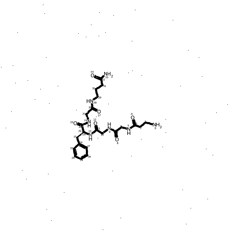 NCCC(=O)NCC(=O)NCC(=O)N[C@@H](Cc1ccccc1)C(=O)NCC(=O)NCCCC(N)=O